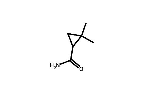 CC1(C)CC1C(N)=O